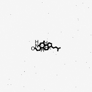 CC(C)CCC1CC[C@H]2[C@@H]3C(C)C=C4NC(=O)CC[C@]4(C)[C@@H]3CC[C@]12C